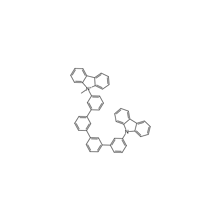 C[N+]1(c2cccc(-c3cccc(-c4cccc(-c5cccc(-n6c7ccccc7c7ccccc76)c5)c4)c3)c2)c2ccccc2-c2ccccc21